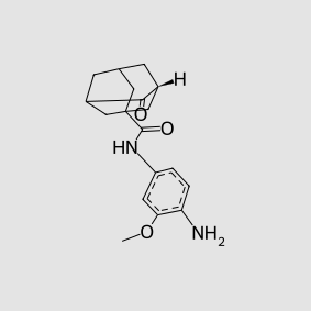 COc1cc(NC(=O)C23CC4CC(C2)C(=O)[C@H](C4)C3)ccc1N